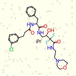 CC(C)[C@H](NC(=O)C(Cc1ccccc1)NC(=O)CCc1cccc(Cl)c1)[C@@H](O)C(F)(F)C(=O)NCCN1CCOCC1